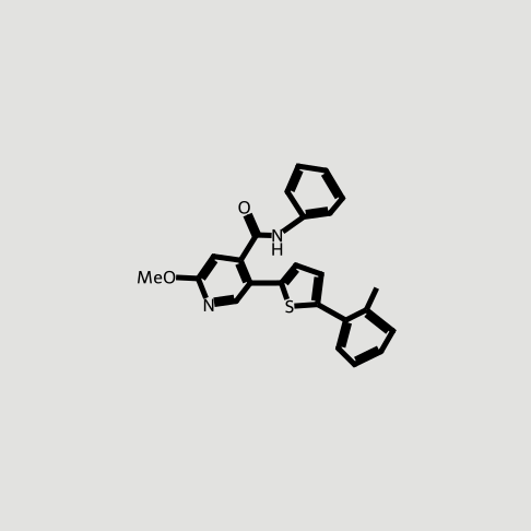 COc1cc(C(=O)Nc2ccccc2)c(-c2ccc(-c3ccccc3C)s2)cn1